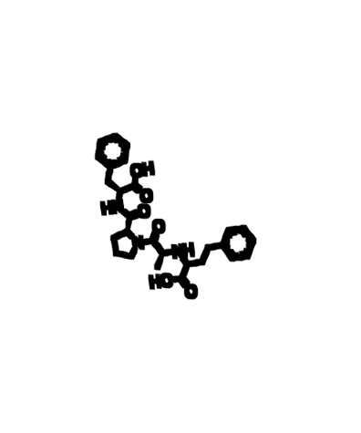 C[C@H](NC(CCc1ccccc1)C(=O)O)C(=O)N1CCC[C@H]1C(=O)N[C@@H](Cc1ccccc1)C(=O)O